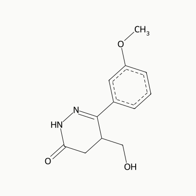 COc1cccc(C2=NNC(=O)CC2CO)c1